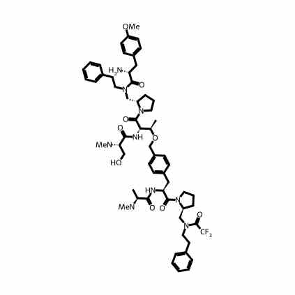 CN[C@@H](C)C(=O)N[C@@H](Cc1ccc(CO[C@H](C)[C@H](NC(=O)[C@H](CO)NC)C(=O)N2CCC[C@H]2CN(CCc2ccccc2)C(=O)[C@H](N)Cc2ccc(OC)cc2)cc1)C(=O)N1CCC[C@H]1CN(CCc1ccccc1)C(=O)C(F)(F)F